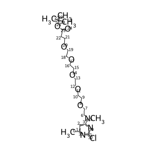 Cc1cc(N(C)CCOCCOCCOCCOCCOCCC(=O)OC(C)(C)C)nc(Cl)n1